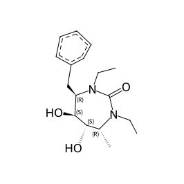 CCN1C(=O)N(CC)[C@H](Cc2ccccc2)[C@H](O)[C@@H](O)[C@H]1C